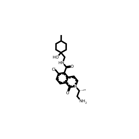 CC1CCC(O)(CNC(=O)c2c(Cl)ccc3c(=O)n([C@H](C)CN)ccc23)CC1